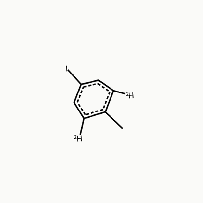 [2H]c1cc(I)cc([2H])c1C